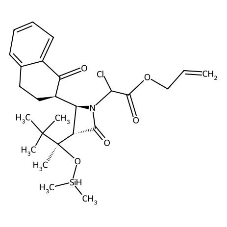 C=CCOC(=O)C(Cl)N1C(=O)[C@H]([C@@](C)(O[SiH](C)C)C(C)(C)C)[C@H]1[C@H]1CCc2ccccc2C1=O